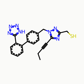 CCC#Cc1nc(CS)nn1Cc1ccc(-c2ccccc2-c2nnn[nH]2)cc1